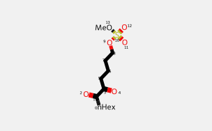 CCCCCCC(=O)C(=O)CCCCOS(=O)(=O)OC